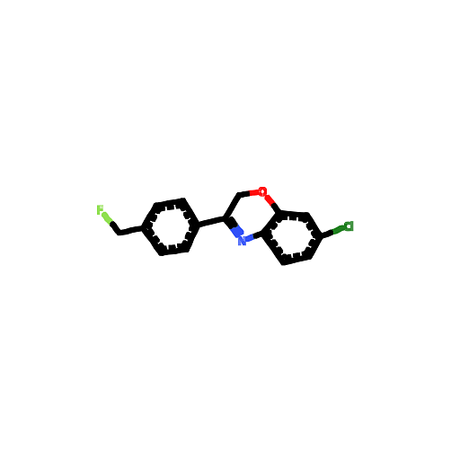 FCc1ccc(C2=Nc3ccc(Cl)cc3OC2)cc1